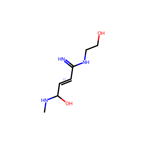 CNC(O)/C=C/C(=N)NCCO